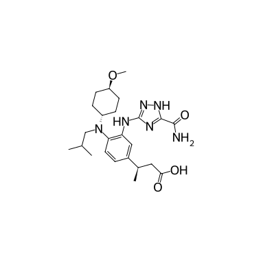 CO[C@H]1CC[C@H](N(CC(C)C)c2ccc([C@H](C)CC(=O)O)cc2Nc2n[nH]c(C(N)=O)n2)CC1